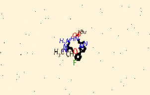 Cc1c(CCOc2cc(F)ccc2-c2ccc3ncc(CCNC(=O)OC(C)(C)C)n3c2)c(CN)nn1C